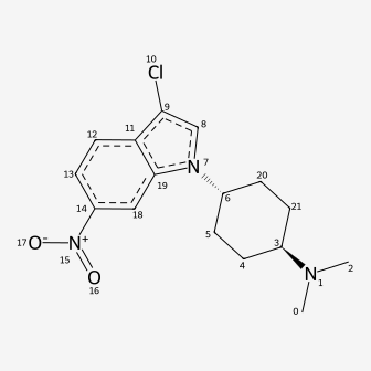 CN(C)[C@H]1CC[C@H](n2cc(Cl)c3ccc([N+](=O)[O-])cc32)CC1